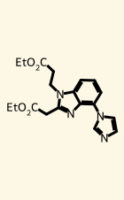 CCOC(=O)CCn1c(CC(=O)OCC)nc2c(-n3ccnc3)cccc21